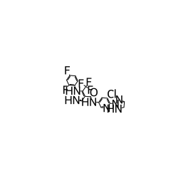 N=C/C(C(=O)Nc1cnc(N2N=CCN2)c(Cl)c1)=C(\Nc1ccc(F)cc1F)C(F)(F)F